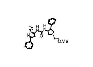 CCn1nc(-c2ccccc2)cc1NC(=O)NC1CN(CCOC)CC1c1ccccc1